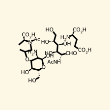 CC(=O)N(CC(C)O[C@@H]1[C@@H](N)[C@@H](O)O[C@H](CO)[C@H]1O)[C@@H](C)C(=O)O.CC(=O)N[C@@H](C=O)[C@@H](O)[C@H](O)[C@H](O)CO.N[C@H](CCC(=O)O)C(=O)O